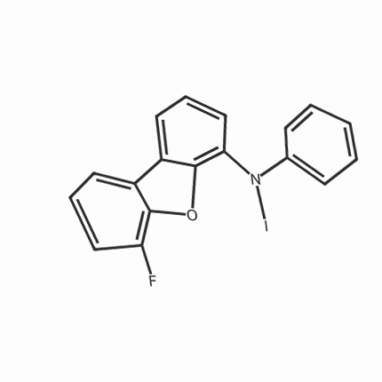 Fc1cccc2c1oc1c(N(I)c3ccccc3)cccc12